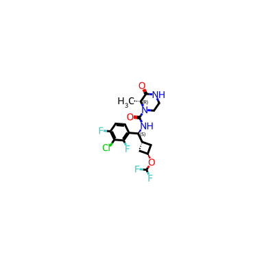 C[C@@H]1C(=O)NCCN1C(=O)N[C@H](c1ccc(F)c(Cl)c1F)[C@H]1C[C@H](OC(F)F)C1